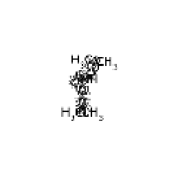 COC(=O)C(C)Cc1cccc(NC(=O)C2(Cc3ccc(-c4ccc(N(C)C)cc4)cc3)CCCCC2)c1